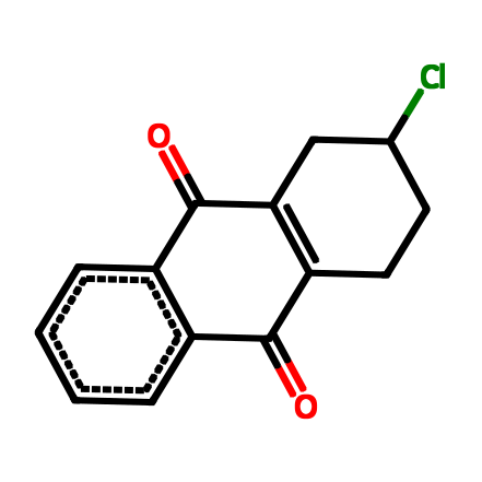 O=C1C2=C(CC(Cl)CC2)C(=O)c2ccccc21